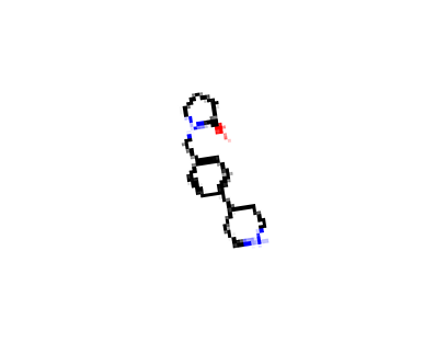 O=C1CCCN1Cc1ccc(C2CCNCC2)cc1